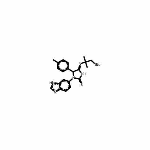 Cc1ccc(C2C(=NC(C)(C)CC(C)(C)C)NC(=S)N2c2ccc3nc[nH]c3c2)cc1